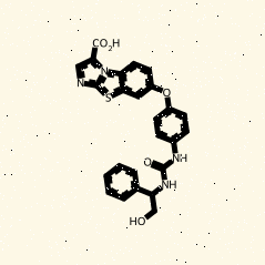 O=C(Nc1ccc(Oc2ccc3c(c2)sc2ncc(C(=O)O)n23)cc1)NC(CO)c1ccccc1